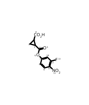 O=C(O)C1CC1C(=O)Oc1ccc([N+](=O)[O-])c(F)c1